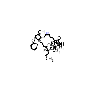 CCCC(F)(F)[C@@H](CCC[C@H]1[C@@H](C/C=C\CCCC(=O)O)[C@@H](O)C[C@H]1O[C@@H]1C=CC=CO1)O[Si](C)(C)C(C)(C)C